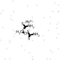 C=C.NC(=S)[S-].NC(=S)[S-].[Pb+2]